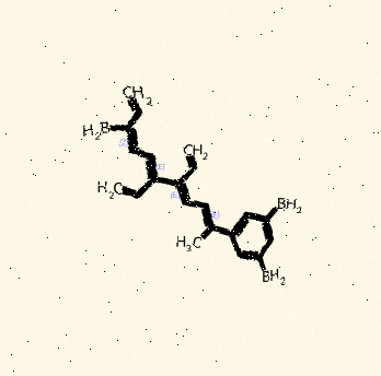 B/C(C=C)=C/C=C(C=C)/C(C=C)=C/C=C(\C)c1cc(B)cc(B)c1